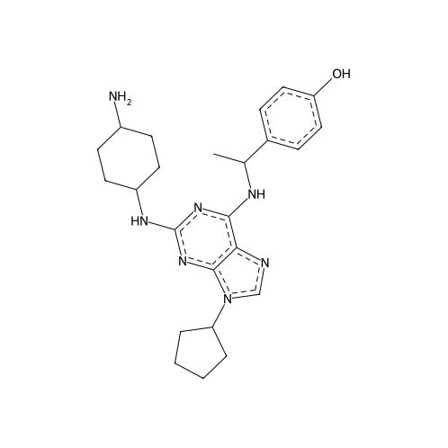 CC(Nc1nc(NC2CCC(N)CC2)nc2c1ncn2C1CCCC1)c1ccc(O)cc1